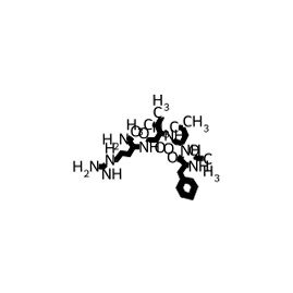 CC[C@H](C)C(NC(=O)C(CC(C)C)NC(=O)C(Cc1ccccc1)NC(C)=O)C(=O)C(=O)NC(CCCNC(=N)N)C(N)=O